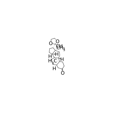 CC1([C@H]2CC[C@H]3[C@@H]4CC[C@@H]5CC(=O)CC[C@]5(C)[C@H]4CC[C@]23C)OCCO1